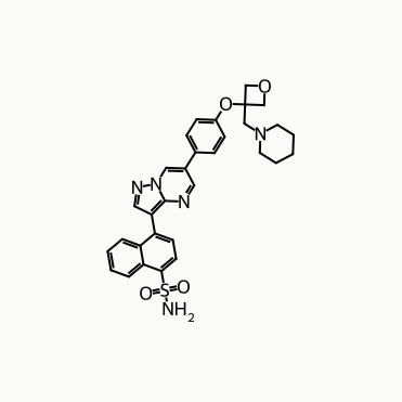 NS(=O)(=O)c1ccc(-c2cnn3cc(-c4ccc(OC5(CN6CCCCC6)COC5)cc4)cnc23)c2ccccc12